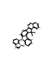 Cn1cnc2cccc(-n3c4ccccc4c4c5c(ccc43)-c3ccc4ccccc4c3C5(C)C)c21